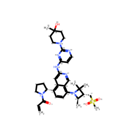 C=CC(=O)N1CCC[C@@H]1c1ccc(N2[C@H](C)[C@@H](CS(C)(=O)=O)C2(C)C)c2cnc(Nc3ccnc(N4CCC(C)(O)CC4)n3)cc12